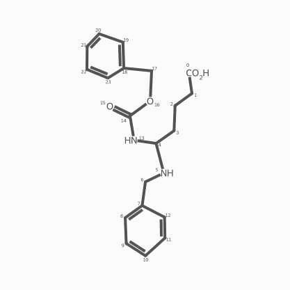 O=C(O)CCCC(NCc1ccccc1)NC(=O)OCc1ccccc1